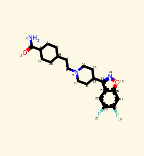 NC(=O)C1CCC(CCN2CCC(c3noc4cc(F)c(F)cc34)CC2)CC1